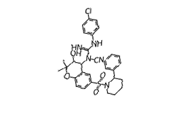 CC1(C)Oc2ccc(S(=O)(=O)N3CCCCC3c3ccccc3)cc2C(N(C#N)C(=N)Nc2ccc(Cl)cc2)C1O